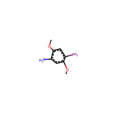 COc1cc(P)c(OC)cc1N